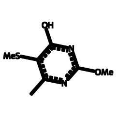 COc1nc(C)c(SC)c(O)n1